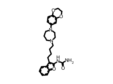 NC(=O)Nc1oc2ccccc2c1CCCCN1CCCN(c2ccc3c(c2)OCCO3)CC1